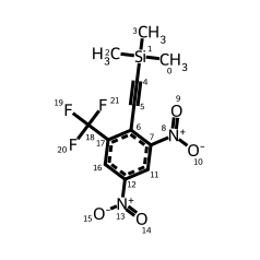 C[Si](C)(C)C#Cc1c([N+](=O)[O-])cc([N+](=O)[O-])cc1C(F)(F)F